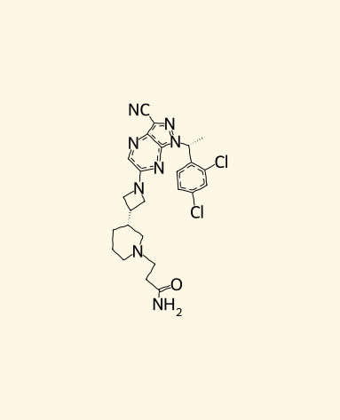 C[C@H](c1ccc(Cl)cc1Cl)n1nc(C#N)c2ncc(N3CC([C@H]4CCCN(CCC(N)=O)C4)C3)nc21